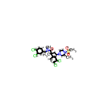 C[C@H]1CN(CCC(C)(C(=O)N(C)Cc2ccc(Cl)c(Cl)c2)c2ccc(Cl)c(Cl)c2)CCN1S(C)(=O)=O